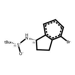 CC(C)(C)[S@@+]([O-])N[C@H]1CCc2c(Br)cccc21